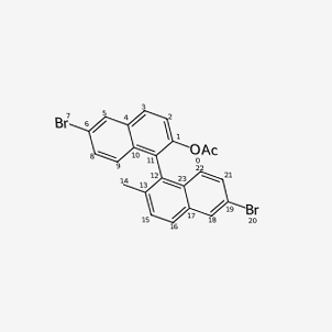 CC(=O)Oc1ccc2cc(Br)ccc2c1-c1c(C)ccc2cc(Br)ccc12